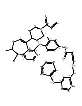 C=CC(=O)N1CCC(C2=CCC(C)C(C)c3ncnc(Nc4ccc(OC(=N)/C=C\NCc5cc(Oc6ccccc6)ccn5)cc4F)c32)CC1